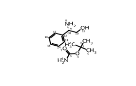 CC(C)(C)OC(N)=O.N[C@H](CO)c1ccccc1